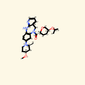 CO[C@@H]1CCN(c2ccc3c(c2)N(C(=O)[C@H]2CC[C@H](OC(C)C)CO2)Cc2cccnc2N3)[C@@H](C)C1